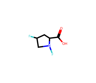 O=C(O)C1CC(F)CN1F